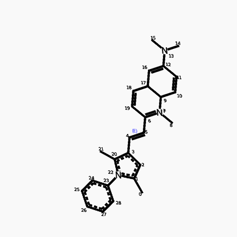 Cc1cc(/C=C/C2=[N+](C)C3C=CC(N(C)C)=CC3C=C2)c(C)n1-c1ccccc1